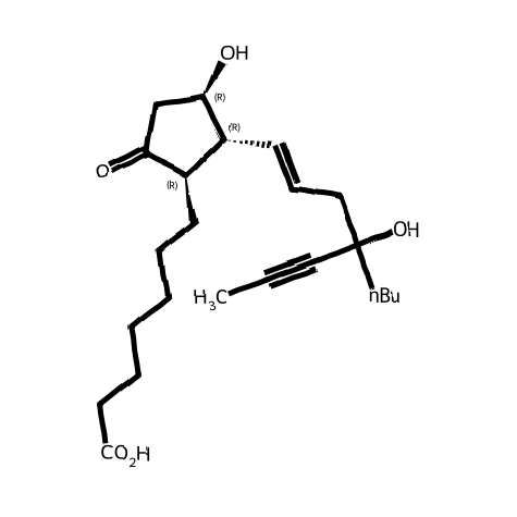 CC#CC(O)(CC=C[C@H]1[C@H](O)CC(=O)[C@@H]1CCCCCCC(=O)O)CCCC